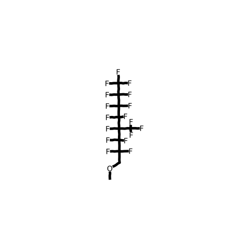 COCC(F)(F)C(F)(F)C(F)(C(F)(F)F)C(F)(F)C(F)(F)C(F)(F)C(F)(F)F